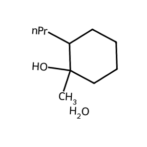 CCCC1CCCCC1(C)O.O